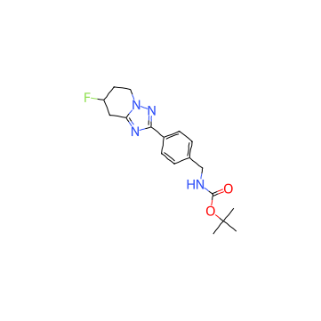 CC(C)(C)OC(=O)NCc1ccc(-c2nc3n(n2)CCC(F)C3)cc1